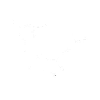 Fc1cc(F)cc(Cc2ccc3[nH]nc(C=Cc4cccs4)c3c2)c1